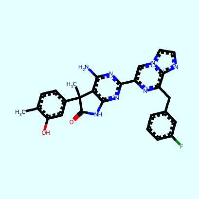 Cc1ccc(C2(C)C(=O)Nc3nc(-c4cn5ccnc5c(Cc5cccc(F)c5)n4)nc(N)c32)cc1O